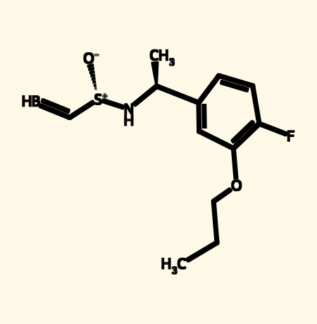 B=C[S@+]([O-])N[C@@H](C)c1ccc(F)c(OCCC)c1